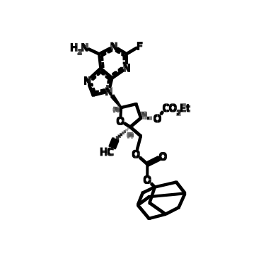 C#C[C@]1(COC(=O)OC23CC4CC(CC(C4)C2)C3)O[C@@H](n2cnc3c(N)nc(F)nc32)C[C@@H]1OC(=O)OCC